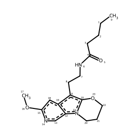 CCCCC(=O)NCCc1c2n(c3cnc(OC)cc13)CCCO2